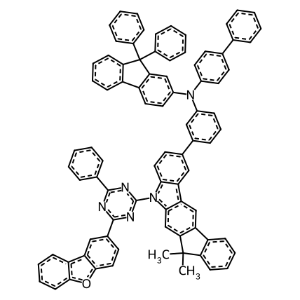 CC1(C)c2ccccc2-c2cc3c4cc(-c5cccc(N(c6ccc(-c7ccccc7)cc6)c6ccc7c(c6)C(c6ccccc6)(c6ccccc6)c6ccccc6-7)c5)ccc4n(-c4nc(-c5ccccc5)nc(-c5ccc6oc7ccccc7c6c5)n4)c3cc21